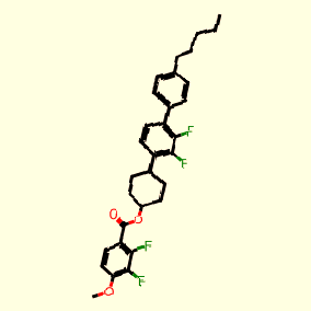 CCCCCc1ccc(-c2ccc(C3CCC(OC(=O)c4ccc(OC)c(F)c4F)CC3)c(F)c2F)cc1